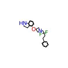 FC(F)(CCc1ccccc1)CN1CC(Oc2cccc3c2CCN3)C1